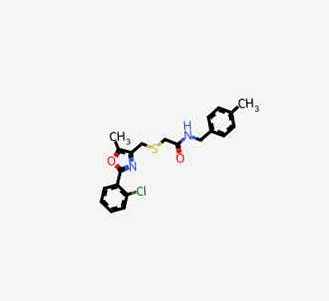 Cc1ccc(CNC(=O)CSCc2nc(-c3ccccc3Cl)oc2C)cc1